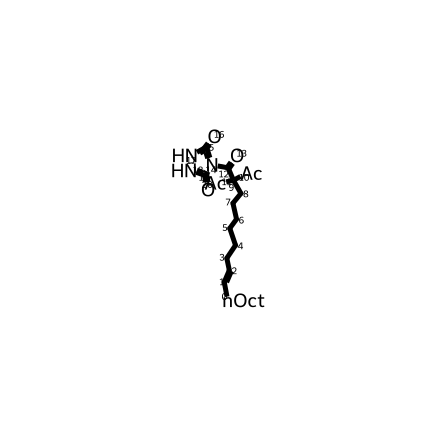 CCCCCCCCC=CCCCCCCC(C(C)=O)(C(C)=O)C(=O)n1c(=O)[nH][nH]c1=O